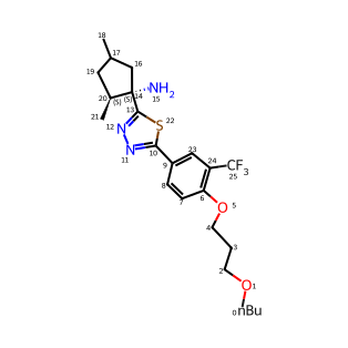 CCCCOCCCOc1ccc(-c2nnc([C@]3(N)CC(C)C[C@@H]3C)s2)cc1C(F)(F)F